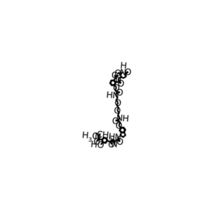 CN(C)C(=O)c1ccc(-c2cc(C(=O)N[C@@H]3CCc4ccc(OCC(=O)NCCOCCOCCNC(=O)COc5cccc6c5C(=O)N(C5CCC(=O)NC5=O)C6=O)cc43)no2)cc1O